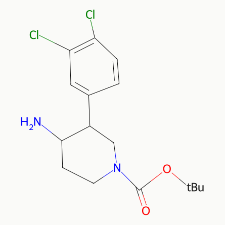 CC(C)(C)OC(=O)N1CCC(N)C(c2ccc(Cl)c(Cl)c2)C1